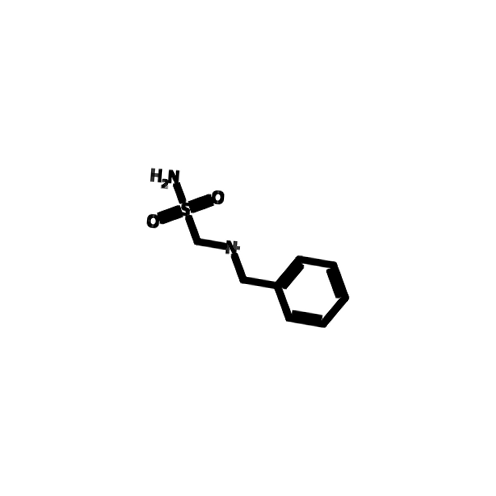 NS(=O)(=O)C[N]Cc1ccccc1